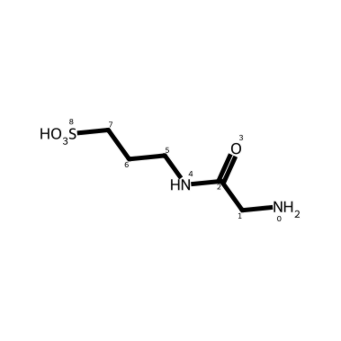 NCC(=O)NCCCS(=O)(=O)O